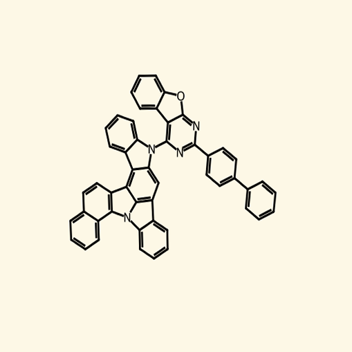 c1ccc(-c2ccc(-c3nc(-n4c5ccccc5c5c6c7ccc8ccccc8c7n7c8ccccc8c(cc54)c67)c4c(n3)oc3ccccc34)cc2)cc1